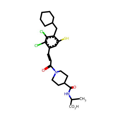 CC(NC(=O)C1CCN(C(=O)C=Cc2cc(S)c(CC3CCCCC3)c(Cl)c2Cl)CC1)C(=O)O